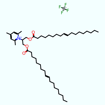 CCCCCCCCC=CCCCCCCCC(=O)OCC(COC(=O)CCCCCCCC=CCCCCCCCC)[n+]1c(C)cc(C)cc1C.F[B-](F)(F)F